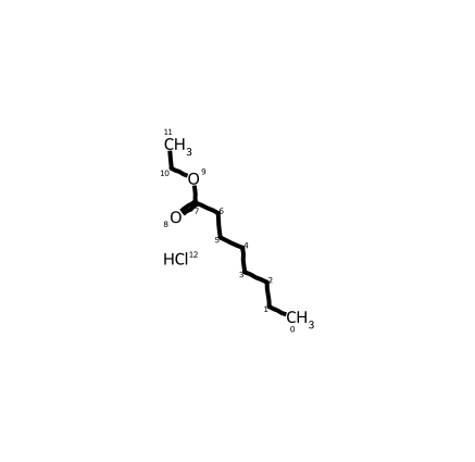 CCCCCCCC(=O)OCC.Cl